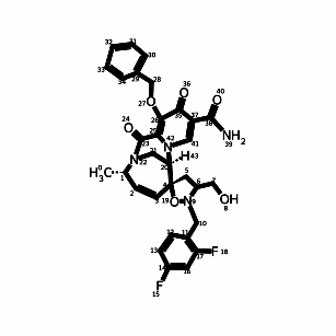 C[C@H]1C=C[C@]2(CC(CO)N(Cc3ccc(F)cc3F)O2)[C@H]2CN1C(=O)c1c(OCc3ccccc3)c(=O)c(C(N)=O)cn12